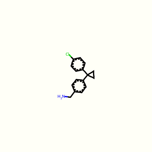 NCc1ccc(C2(c3ccc(Cl)cc3)CC2)cc1